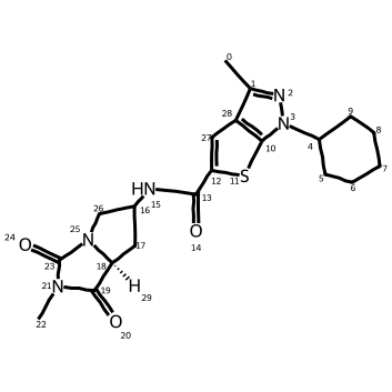 Cc1nn(C2CCCCC2)c2sc(C(=O)NC3C[C@H]4C(=O)N(C)C(=O)N4C3)cc12